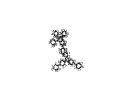 c1ccc(-c2ccc(N(c3ccc(-c4ccccc4)cc3)c3ccc4cc(-c5ccc6c(c5)c(-c5ccccc5)c(-c5ccccc5)n6-c5ccccc5)ccc4c3)cc2)cc1